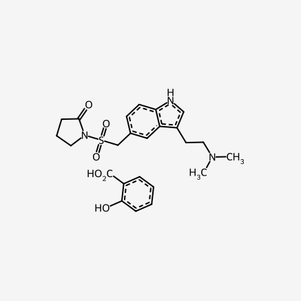 CN(C)CCc1c[nH]c2ccc(CS(=O)(=O)N3CCCC3=O)cc12.O=C(O)c1ccccc1O